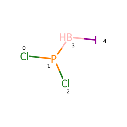 ClP(Cl)BI